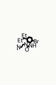 CCC(CC)c1ccc(Br)c2[nH]c(=O)n(CCN(C)C)c12